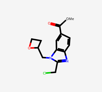 COC(=O)c1ccc2nc(CCl)n(CC3CCO3)c2c1